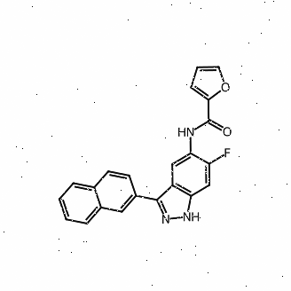 O=C(Nc1cc2c(-c3ccc4ccccc4c3)n[nH]c2cc1F)c1ccco1